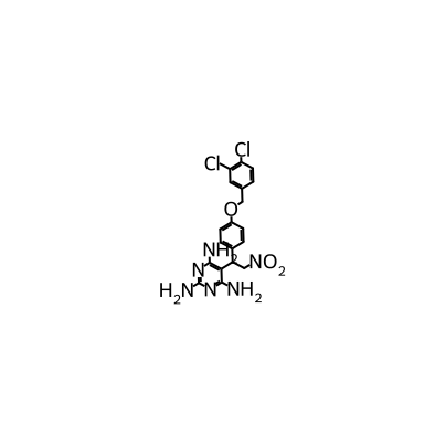 Nc1nc(N)c(C(C[N+](=O)[O-])c2ccc(OCc3ccc(Cl)c(Cl)c3)cc2)c(N)n1